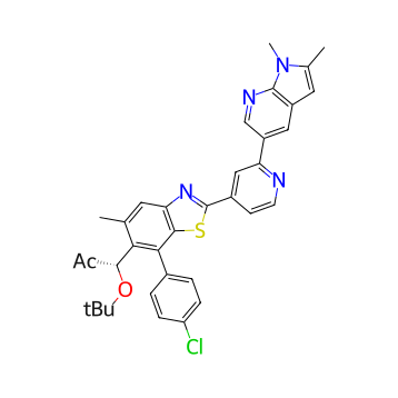 CC(=O)[C@@H](OC(C)(C)C)c1c(C)cc2nc(-c3ccnc(-c4cnc5c(c4)cc(C)n5C)c3)sc2c1-c1ccc(Cl)cc1